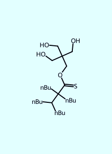 CCCCC(CCCC)C(CCCC)(CCCC)C(=S)OCC(CO)(CO)CO